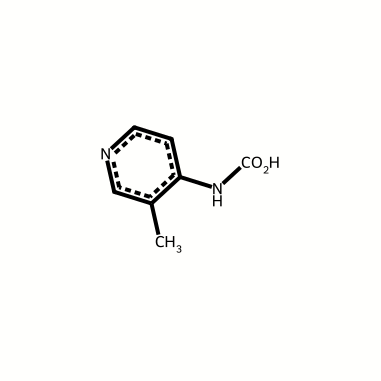 Cc1cnccc1NC(=O)O